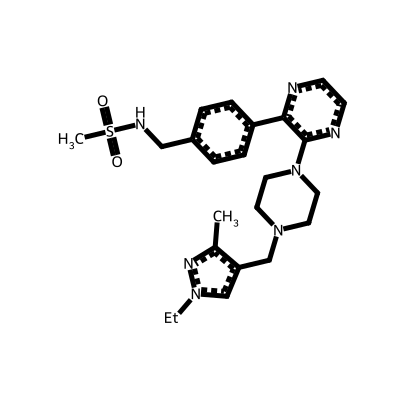 CCn1cc(CN2CCN(c3nccnc3-c3ccc(CNS(C)(=O)=O)cc3)CC2)c(C)n1